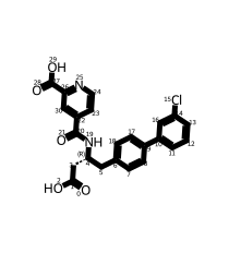 O=C(O)C[C@@H](Cc1ccc(-c2cccc(Cl)c2)cc1)NC(=O)c1ccnc(C(=O)O)c1